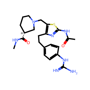 CNC(=O)[C@@H]1CCCN(Cc2sc(NC(C)=O)nc2CCc2ccc(NC(=N)N)cc2)C1